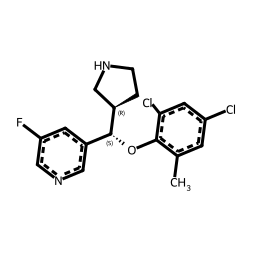 Cc1cc(Cl)cc(Cl)c1O[C@H](c1cncc(F)c1)[C@@H]1CCNC1